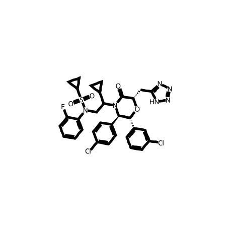 O=C1[C@H](Cc2nnn[nH]2)O[C@H](c2cccc(Cl)c2)[C@@H](c2ccc(Cl)cc2)N1C(CN(c1ccccc1F)S(=O)(=O)C1CC1)C1CC1